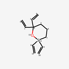 C=CC1(C=C)CCC[Si](C=C)(C=C)O1